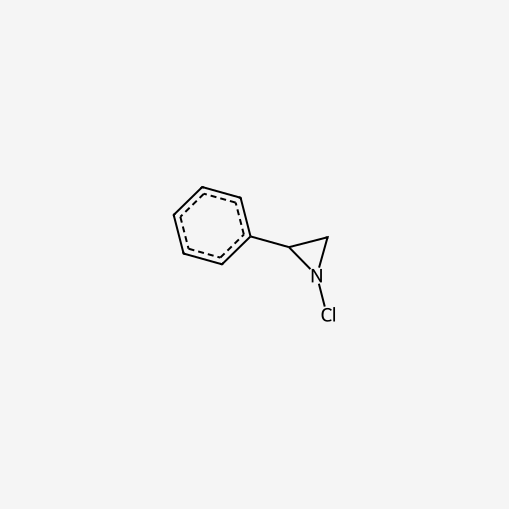 ClN1CC1c1ccccc1